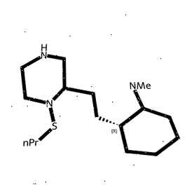 CCCSN1CCNCC1CC[C@H]1CCCCC1NC